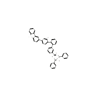 c1ccc(-c2nc(-c3ccccc3)nc(-c3cccc(-c4cccc5oc6cc(-c7ccc8oc9ccccc9c8c7)ccc6c45)c3)n2)cc1